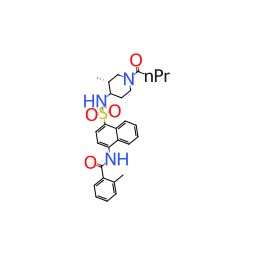 CCCC(=O)N1CCC(NS(=O)(=O)c2ccc(NC(=O)c3ccccc3C)c3ccccc23)[C@H](C)C1